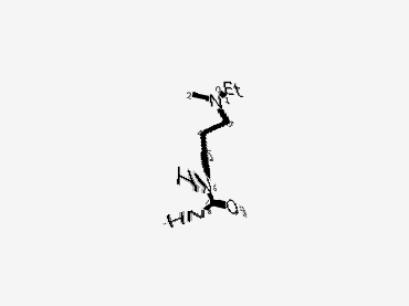 CCN(C)CCCNC([NH])=O